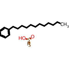 CCCCCCCCCCCCc1ccccc1.O=[SH](O)=S